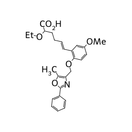 CCOC(CCC=Cc1cc(OC)ccc1OCc1nc(-c2ccccc2)oc1C)C(=O)O